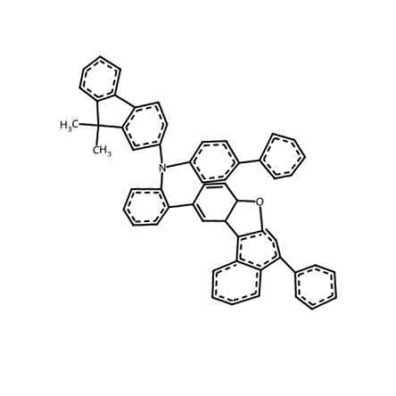 CC1(C)c2ccccc2-c2ccc(N(c3ccc(-c4ccccc4)cc3)c3ccccc3C3=CC4c5c(cc(-c6ccccc6)c6ccccc56)OC4C=C3)cc21